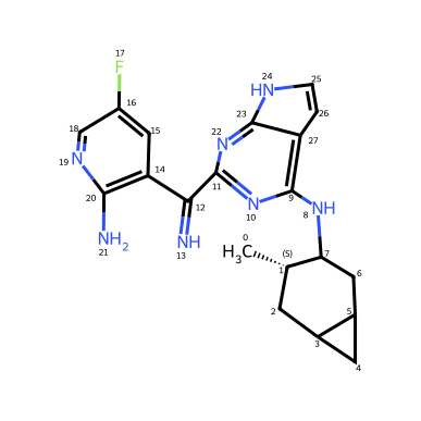 C[C@H]1CC2CC2CC1Nc1nc(C(=N)c2cc(F)cnc2N)nc2[nH]ccc12